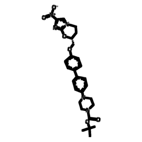 CC(C)(C)OC(=O)N1CCN(c2ccc(-c3ccc(OC[C@H]4CCn5cc([N+](=O)[O-])nc5O4)cc3)cc2)CC1